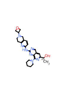 C[C@@H](O)c1cc2cnc(Nc3ccc4c(n3)CCN(C3COC3)C4)nc2c(N2CCCCC2)n1